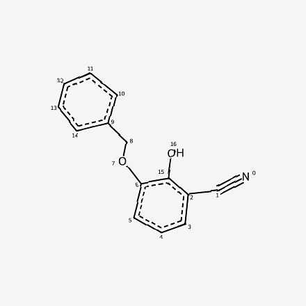 N#Cc1cccc(OCc2ccccc2)c1O